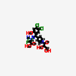 NC(c1cc(Cl)c(Cl)cc1O)C1CC2CC1CN2C(=O)C(O)CO.O=C(O)C(F)(F)F